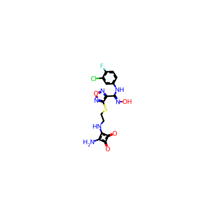 Nc1c(NCCSc2nonc2/C(=N/O)Nc2ccc(F)c(Cl)c2)c(=O)c1=O